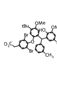 COc1cc(C(c2cccc(C)c2)c2cc(C)cc(OC)c2O)c(Oc2c(Br)cc(CC(=O)O)cc2Br)cc1C(C)(C)C